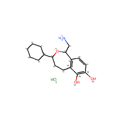 Cl.NCC1OC(C2CCCCC2)CCc2c1ccc(O)c2O